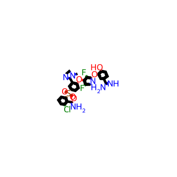 CN1CC=NC1c1cc(S(=O)(=O)c2cccc(Cl)c2C(N)=O)ccc1Oc1c(F)cnc(Oc2cc(C(=N)N)ccc2O)c1F